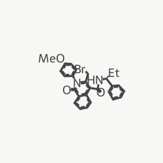 CC[C@H](NC(=O)c1c(CBr)n(-c2ccc(OC)cc2)c(=O)c2ccccc12)c1ccccc1